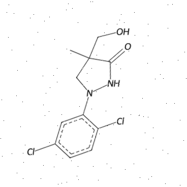 CC1(CO)CN(c2cc(Cl)ccc2Cl)NC1=O